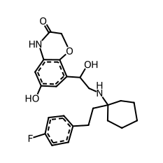 O=C1COc2c(cc(O)cc2C(O)CNC2(CCc3ccc(F)cc3)CCCCC2)N1